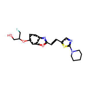 OCC(CF)Oc1ccc2nc(/C=C/c3cnc(N4CCCCC4)s3)oc2c1